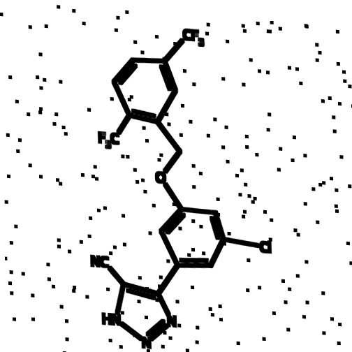 N#Cc1[nH]nnc1-c1cc(Cl)cc(OCc2cc(C(F)(F)F)ccc2C(F)(F)F)c1